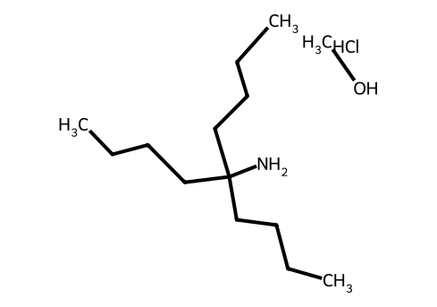 CCCCC(N)(CCCC)CCCC.CO.Cl